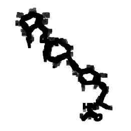 CC(=O)NC(C)Cc1ccc(C#Cc2cnc(OCc3ccccc3F)nc2)cc1